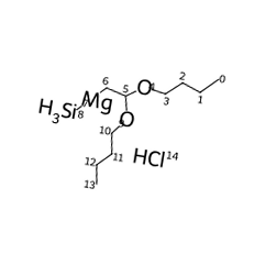 CCCCOC([CH2][Mg][SiH3])OCCCC.Cl